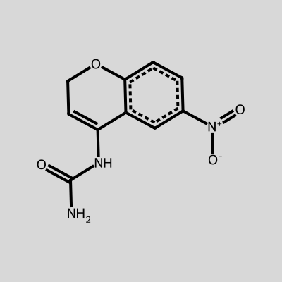 NC(=O)NC1=CCOc2ccc([N+](=O)[O-])cc21